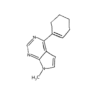 Cn1ccc2c(C3=CCCCC3)ncnc21